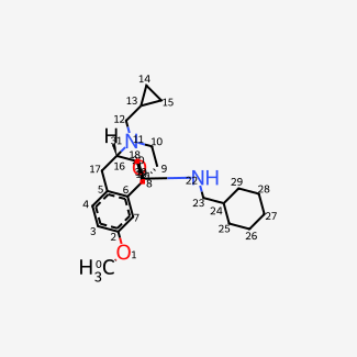 COc1ccc2c(c1)[C@@]13CCN(CC4CC4)[C@@H](C2)C1OCC(NCC1CCCCC1)C3